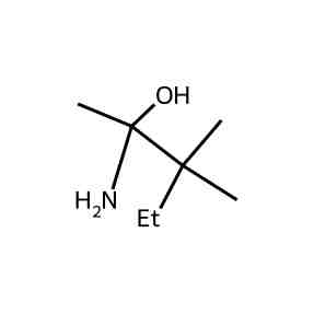 CCC(C)(C)C(C)(N)O